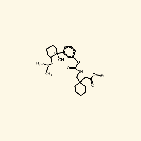 CC(C)OC(=O)CC1(CNC(=O)Oc2cccc([C@@]3(O)CCCCC3CN(C)C)c2)CCCCC1